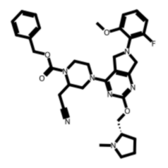 COc1cccc(F)c1N1Cc2nc(OC[C@@H]3CCCN3C)nc(N3CCN(C(=O)OCc4ccccc4)C(CC#N)C3)c2C1